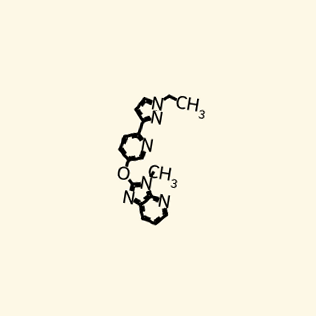 CCn1ccc(-c2ccc(Oc3nc4cccnc4n3C)cn2)n1